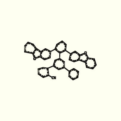 N#Cc1ccccc1-c1cc(-c2ccccc2)cc(-c2c(-c3ccc4c(c3)oc3ccccc34)cccc2-c2ccc3oc4ccccc4c3c2)c1